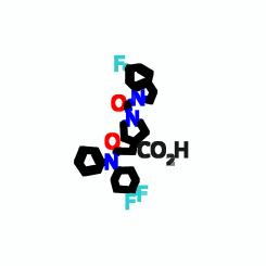 O=C(N1CCC(CC(=O)N(c2ccccc2)C2CCC(F)(F)CC2)(C(=O)O)CC1)N1CCc2ccc(F)cc21